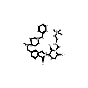 CN(Cc1ccc2c(c1)CN(C1CCC(=O)N(COCC[Si](C)(C)C)C1=O)C2=O)C1CCN(Cc2ccccc2)CC1